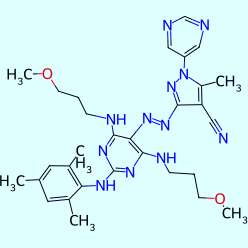 COCCCNc1nc(Nc2c(C)cc(C)cc2C)nc(NCCCOC)c1N=Nc1nn(-c2cncnc2)c(C)c1C#N